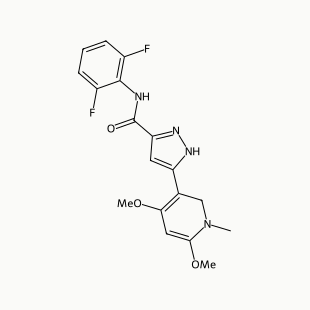 COC1=CC(OC)=C(c2cc(C(=O)Nc3c(F)cccc3F)n[nH]2)CN1C